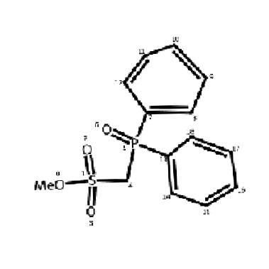 COS(=O)(=O)CP(=O)(c1ccccc1)c1ccccc1